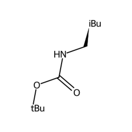 CC[C@H](C)CNC(=O)OC(C)(C)C